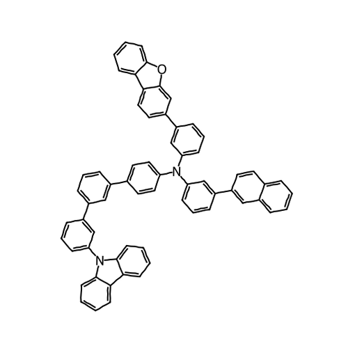 c1cc(-c2ccc(N(c3cccc(-c4ccc5ccccc5c4)c3)c3cccc(-c4ccc5c(c4)oc4ccccc45)c3)cc2)cc(-c2cccc(-n3c4ccccc4c4ccccc43)c2)c1